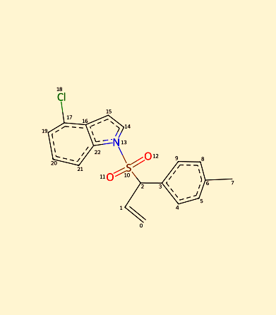 C=CC(c1ccc(C)cc1)S(=O)(=O)n1ccc2c(Cl)cccc21